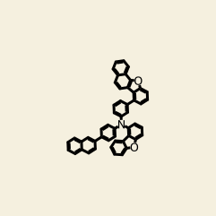 c1cc(-c2cccc3oc4c5ccccc5ccc4c23)cc(N(c2ccc(-c3ccc4ccccc4c3)cc2)c2cccc3oc4ccccc4c23)c1